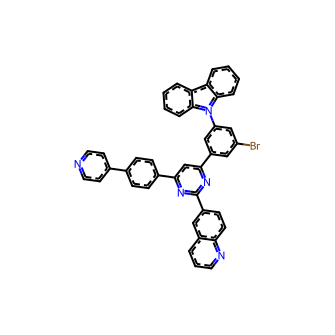 Brc1cc(-c2cc(-c3ccc(-c4ccncc4)cc3)nc(-c3ccc4ncccc4c3)n2)cc(-n2c3ccccc3c3ccccc32)c1